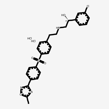 Cc1nc(-c2ccc(S(=O)(=O)c3ccc(CCNC[C@H](O)c4cccc(Cl)c4)cc3)cc2)no1.Cl.Cl